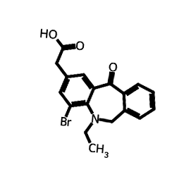 CCN1Cc2ccccc2C(=O)c2cc(CC(=O)O)cc(Br)c21